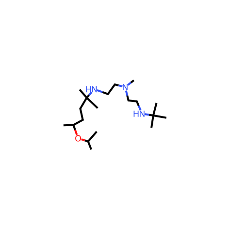 CC(C)OC(C)CCC(C)(C)NCCN(C)CCNC(C)(C)C